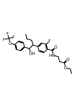 CCCC(c1ccc(C(=O)NCCC(=O)OCC)c(F)c1)C(O)c1ccc(OC(F)(F)F)cc1